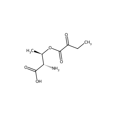 CCC(=O)C(=O)O[C@H](C)[C@H](N)C(=O)O